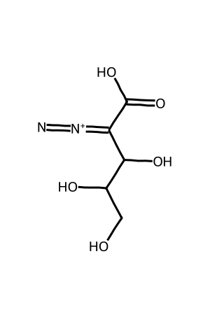 [N-]=[N+]=C(C(=O)O)C(O)C(O)CO